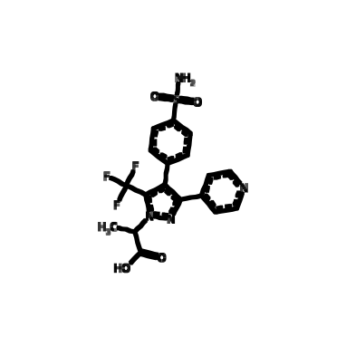 CC(C(=O)O)n1nc(-c2ccncc2)c(-c2ccc(S(N)(=O)=O)cc2)c1C(F)(F)F